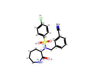 N#Cc1cccc(CN([C@@H]2CCCCNC2=O)S(=O)(=O)c2ccc(Cl)cc2)c1